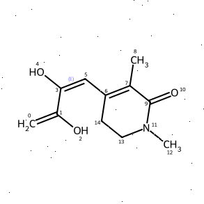 C=C(O)/C(O)=C\C1=C(C)C(=O)N(C)CC1